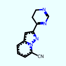 N#Cc1cccc2cc(C3=NC=NCC3)nn12